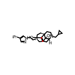 CC(C)c1cnn(CCN2CC[C@]34CCN(CC5CC5)[C@H](Cc5ccc(O)cc53)[C@]4(O)CC2)c1